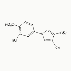 CCCCc1cn(-c2ccc(C(=O)O)c(O)c2)cc1C#N